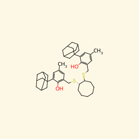 Cc1cc(CS[C@H]2CCCCCC[C@@H]2SCc2cc(C)cc(C34CC5CC(CC(C5)C3)C4)c2O)c(O)c(C23CC4CC(CC(C4)C2)C3)c1